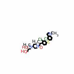 C=C(C(=O)N1CCC(N(C)CC(O)CO)CC1)c1ccc(Sc2ccc3c(ccn3C)c2)c(Cl)c1Cl